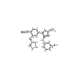 COc1ccc(-c2cc(C(F)(F)F)nn2Cc2cccc(F)c2)cc1OC1CCCO1